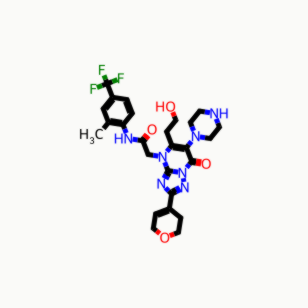 Cc1cc(C(F)(F)F)ccc1NC(=O)Cn1c(CCO)c(N2CCNCC2)c(=O)n2nc(C3=CCOCC3)nc12